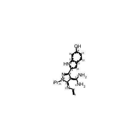 C=C/N=C1\C(=C(N)N)C(c2cc3ccc(O)cc3[nH]2)=NN1C(C)C